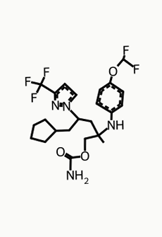 CC(COC(N)=O)(CC(CC1CCCC1)n1ccc(C(F)(F)F)n1)Nc1ccc(OC(F)F)cc1